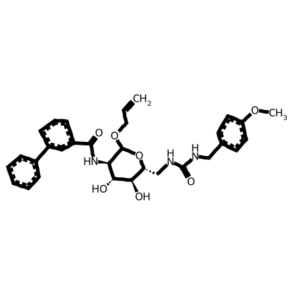 C=CCOC1O[C@H](CNC(=O)NCc2ccc(OC)cc2)[C@@H](O)[C@H](O)[C@H]1NC(=O)c1cccc(-c2ccccc2)c1